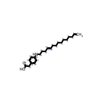 C=CCCCCCCCC/C=C/CCCNc1ccc(CC(=O)O)cc1